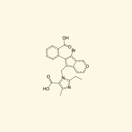 CCc1nc(C)c(C(=O)O)n1Cc1c2ccocc-2c(Br)c1-c1ccccc1C(=O)O